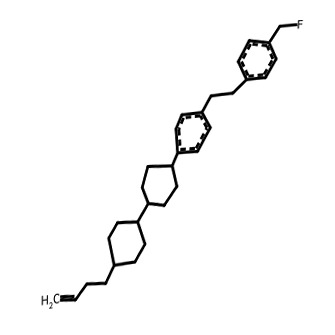 C=CCCC1CCC(C2CCC(c3ccc(CCc4ccc(CF)cc4)cc3)CC2)CC1